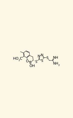 Cc1ccc2c(c1C(=O)O)OB(O)[C@@H](Sc1nnc(SCC(=N)N)s1)C2